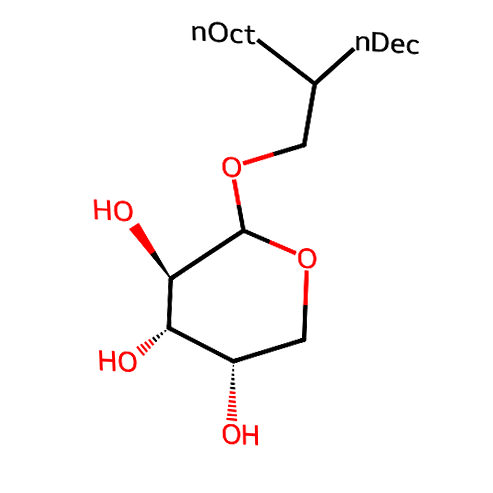 CCCCCCCCCCC(CCCCCCCC)COC1OC[C@H](O)[C@H](O)[C@H]1O